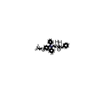 CN(C)CCOc1ccc(/C(=C(/CCNC(=O)NCc2ccccc2)c2ccccc2)c2ccccc2)cc1